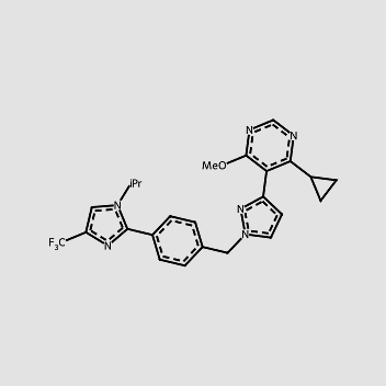 COc1ncnc(C2CC2)c1-c1ccn(Cc2ccc(-c3nc(C(F)(F)F)cn3C(C)C)cc2)n1